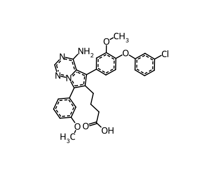 COc1cccc(-c2c(CCCC(=O)O)c(-c3ccc(Oc4cccc(Cl)c4)c(OC)c3)c3c(N)ncnn23)c1